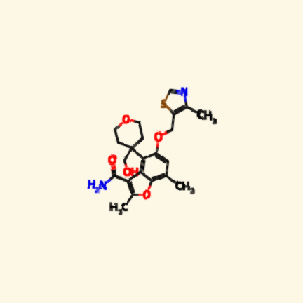 Cc1ncsc1COc1cc(C)c2oc(C)c(C(N)=O)c2c1C1(CO)CCOCC1